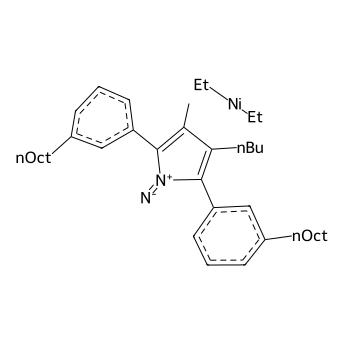 CCCCCCCCc1cccc(C2=C(C)C(CCCC)=C(c3cccc(CCCCCCCC)c3)[N+]2=[N-])c1.C[CH2][Ni][CH2]C